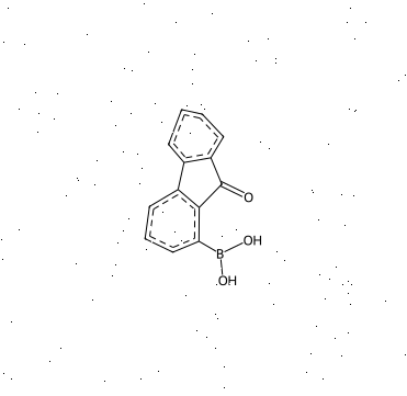 O=C1c2ccccc2-c2cccc(B(O)O)c21